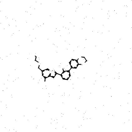 CCc1cc(CNCCO)cn2nc(-c3cccc(-c4ccc5c(c4)OCCO5)c3C#N)cc12